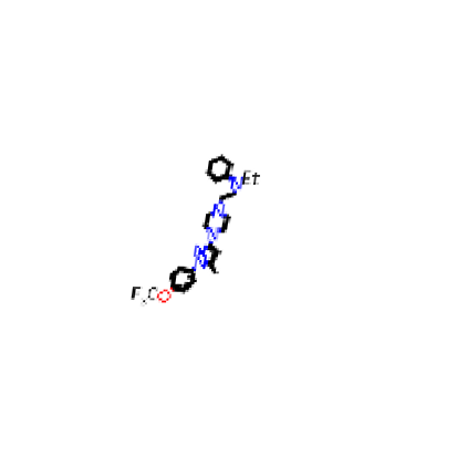 CCN(CCN1CCN(c2cc(C)n(-c3ccc(OC(F)(F)F)cc3)n2)CC1)C1CCCCC1